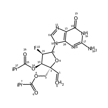 C=C[C@]1(COC(=O)C(C)C)OC(n2cnc3c(=O)[nH]c(N)nc32)[C@H](F)[C@@H]1OC(=O)C(C)C